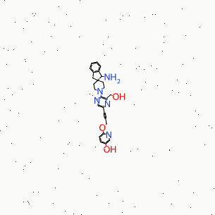 NC1c2ccccc2CC12CCN(c1ncc(C#CCOc3ccc(O)cn3)nc1CO)CC2